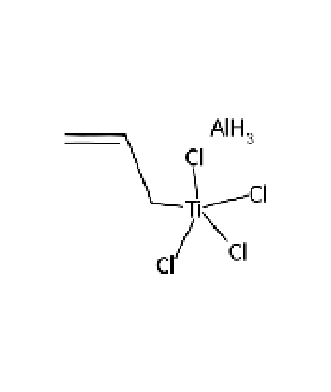 C=C[CH2][Ti]([Cl])([Cl])([Cl])[Cl].[AlH3]